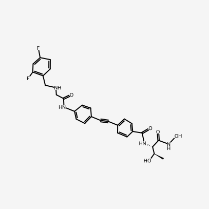 C[C@@H](O)[C@H](NC(=O)c1ccc(C#Cc2ccc(NC(=O)CNCc3ccc(F)cc3F)cc2)cc1)C(=O)NO